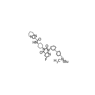 CN(Cc1ccc(-c2cccc(-n3c(=O)n([C@H]4CC[C@@H](NC(=O)c5cn6c(n5)CCCC6)CC4)c(=O)c4cc(F)cnc43)c2)cc1)C(C)(C)C